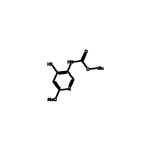 COc1cc(S)c(NC(=O)OC(C)(C)C)cn1